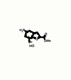 CCCc1cc(N)cc2cc(C(=O)OC)oc12.Cl